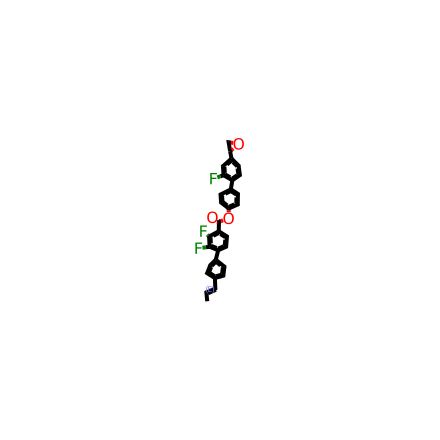 C/C=C/c1ccc(-c2ccc(C(=O)Oc3ccc(-c4ccc(C5CO5)cc4F)cc3)c(F)c2F)cc1